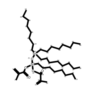 C=C(C)C(=O)[O][Sn]([CH2]CCCCCCC)([O]C(=O)C(=C)C)[O][Sn]([CH2]CCCCCCC)([CH2]CCCCCCC)[CH2]CCCCCCC